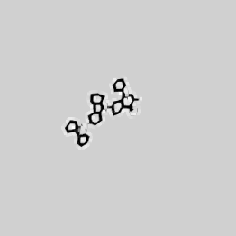 Cc1cn(-c2ccccc2)c2cc(-n3c4ccccc4c4cc(-n5c6ccccc6c6ccccc65)ccc43)ccc2c1=O